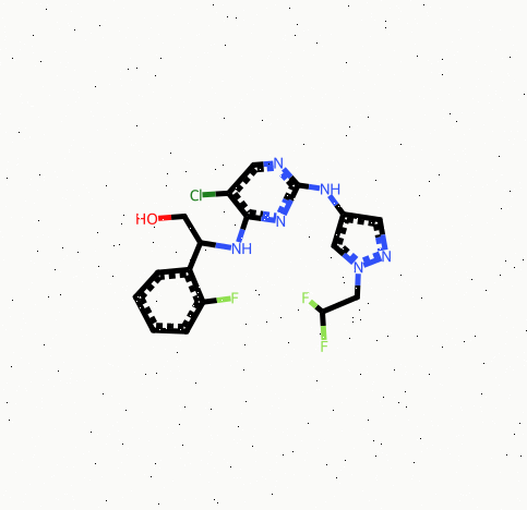 OCC(Nc1nc(Nc2cnn(CC(F)F)c2)ncc1Cl)c1ccccc1F